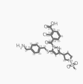 CS(=O)(=O)N1CCC(c2cc(SCc3ccc(CN)cc3)n(C(=O)c3cccc(C(=O)O)c3Cl)n2)C1